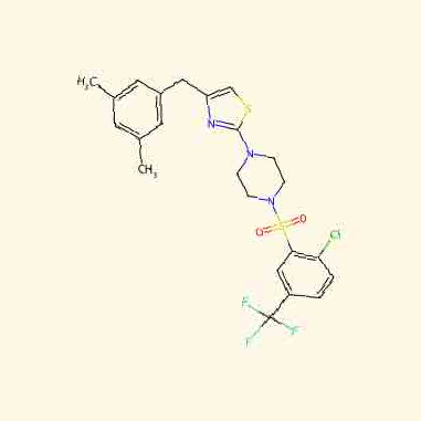 Cc1cc(C)cc(Cc2csc(N3CCN(S(=O)(=O)c4cc(C(F)(F)F)ccc4Cl)CC3)n2)c1